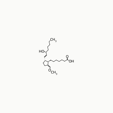 CCCCC[C@H](O)C=C[C@H]1CCC(=COC)[C@@H]1CCCCCCC(=O)O